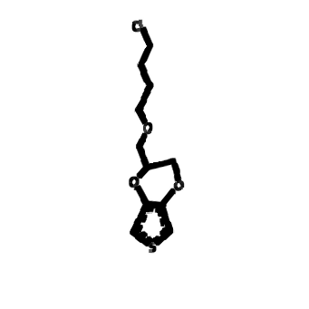 ClCCCCOCC1COc2cscc2O1